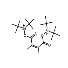 C/C(C(=O)[O][SnH]([C](C)(C)C)[C](C)(C)C)=C(\C)C(=O)[O][SnH]([C](C)(C)C)[C](C)(C)C